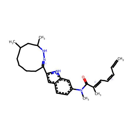 C=C/C=C\C=C(/C)C(=O)N(C)c1ccc2cc(/C3=N/NC(C)CC(C)CCCC3)[nH]c2c1